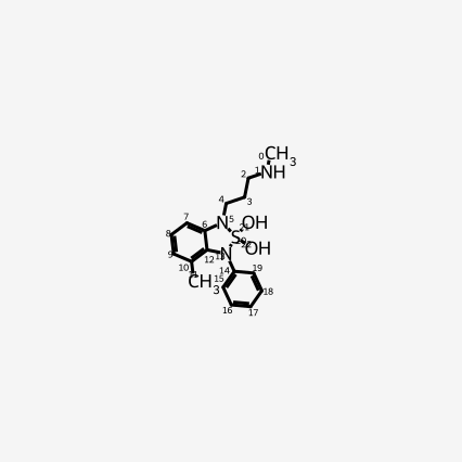 CNCCCN1c2cccc(C)c2N(c2ccccc2)S1(O)O